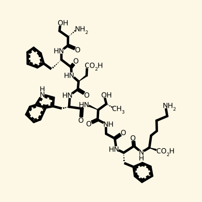 C[C@@H](O)[C@H](NC(=O)[C@H](Cc1c[nH]c2ccccc12)NC(=O)[C@H](CC(=O)O)NC(=O)[C@H](Cc1ccccc1)NC(=O)[C@@H](N)CO)C(=O)NCC(=O)N[C@@H](Cc1ccccc1)C(=O)N[C@@H](CCCCN)C(=O)O